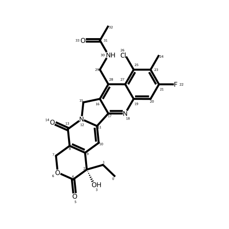 CC[C@@]1(O)C(=O)OCc2c1cc1n(c2=O)Cc2c-1nc1cc(F)c(C)c(Cl)c1c2CNC(C)=O